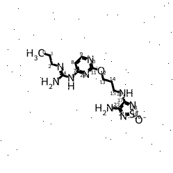 CCCN=C(N)Nc1ccnc(OCCCNc2n[s+]([O-])nc2N)n1